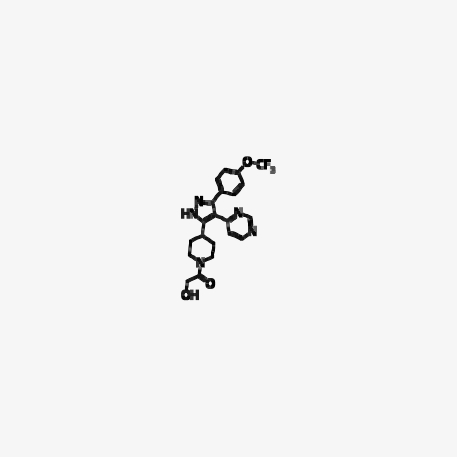 O=C(CO)N1CCC(c2[nH]nc(-c3ccc(OC(F)(F)F)cc3)c2-c2ccncn2)CC1